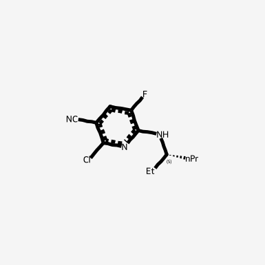 CCC[C@H](CC)Nc1nc(Cl)c(C#N)cc1F